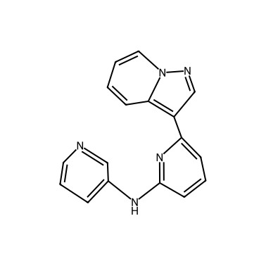 c1cncc(Nc2cccc(-c3cnn4ccccc34)n2)c1